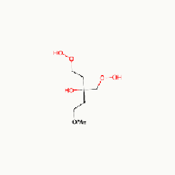 COCCC(O)(CCOO)COO